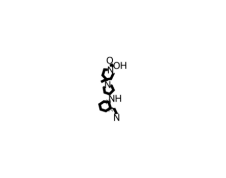 CC1(N2CCC(N[C@H]3CCCC[C@@H]3CC#N)CC2)CCN(C(=O)O)CC1